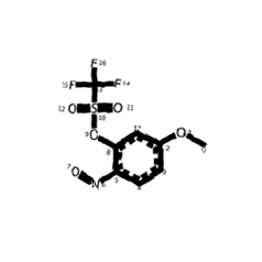 COc1ccc(N=O)c(OS(=O)(=O)C(F)(F)F)c1